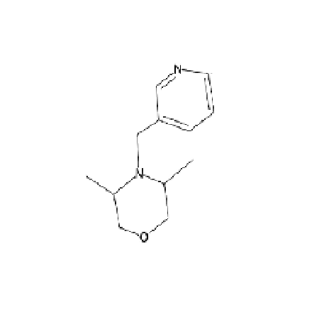 CC1COCC(C)N1Cc1cc[c]nc1